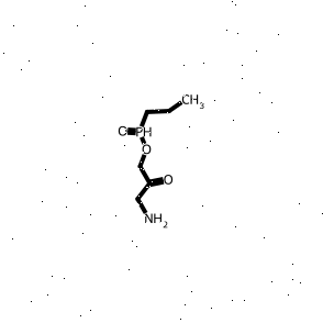 CCC[PH](=O)OCC(=O)CN